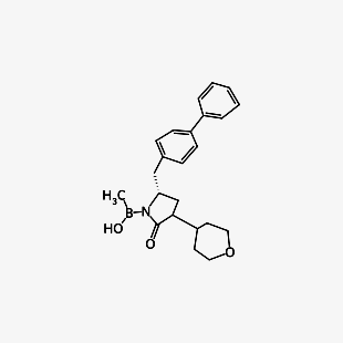 CB(O)N1C(=O)C(C2CCOCC2)C[C@H]1Cc1ccc(-c2ccccc2)cc1